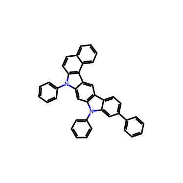 c1ccc(-c2ccc3c4cc5c6c7ccccc7ccc6n(-c6ccccc6)c5cc4n(-c4ccccc4)c3c2)cc1